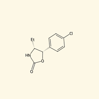 CC[C@H]1NC(=O)O[C@H]1c1ccc(Cl)cc1